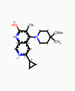 COC1(C)CCN(c2c(C#N)c(O)nc3cnc(C4CC4)cc23)CC1